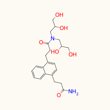 NC(=O)CCc1ccc(CCC(=O)N(CC(O)CO)CC(O)CO)c2ccccc12